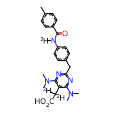 [2H]N(C(=O)c1ccc(C)cc1)c1ccc(Cc2nc(N(C)C)c(C([2H])([2H])C(=O)O)c(N(C)C)n2)cc1